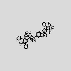 O=C(N1CC2(C1)OCc1cc(C3=NSC(c4cc(Cl)c(F)c(Cl)c4)(C(F)(F)F)C3)ccc12)C1(C(F)(F)F)CC1